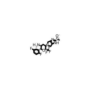 C[S+]([O-])c1nc2c([nH]1)CN([C@@H]1C[C@H](N)[C@@H](c3cc(F)ccc3F)O[C@@H]1C(F)(F)F)C2